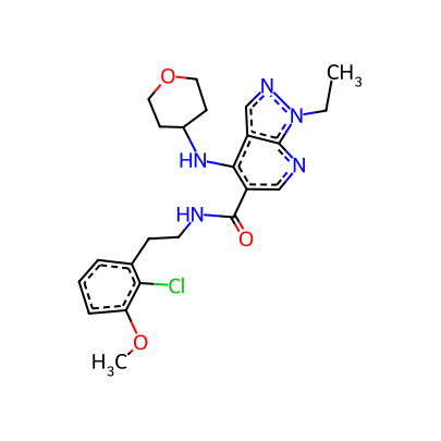 CCn1ncc2c(NC3CCOCC3)c(C(=O)NCCc3cccc(OC)c3Cl)cnc21